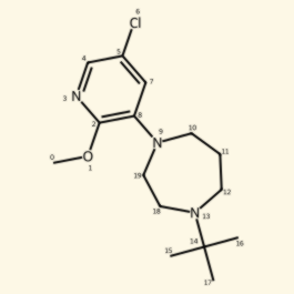 COc1ncc(Cl)cc1N1CCCN(C(C)(C)C)CC1